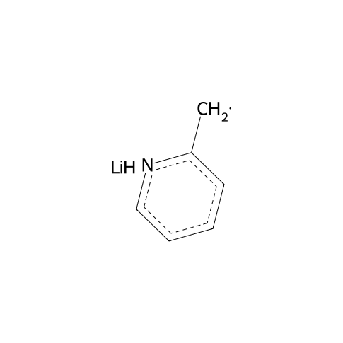 [CH2]c1ccccn1.[LiH]